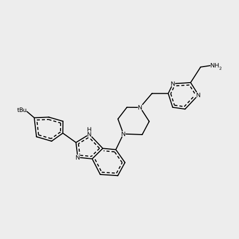 CC(C)(C)c1ccc(-c2nc3cccc(N4CCN(Cc5ccnc(CN)n5)CC4)c3[nH]2)cc1